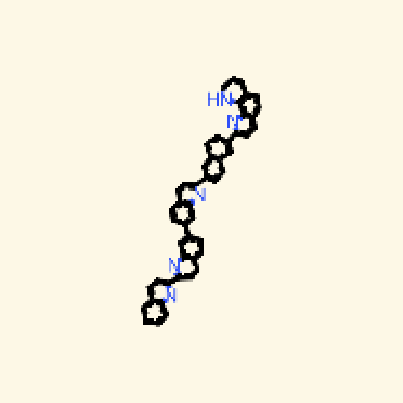 C1=Cc2ccc3ccc(-c4ccc5cc(-c6ccc7ccc(-c8ccc9ccc(-c%10ccc%11ccccc%11n%10)nc9c8)cc7n6)ccc5c4)nc3c2NC1